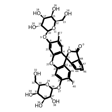 O=C1OC2(c3cc(F)c(O[C@@H]4O[C@H](CO)[C@H](O)[C@H](O)[C@H]4O)cc3Oc3cc(O[C@@H]4O[C@H](CO)[C@H](O)[C@H](O)[C@H]4O)c(F)cc32)c2ccccc21